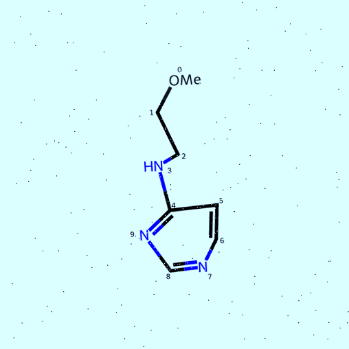 COCCNc1c[c]ncn1